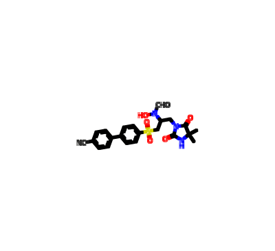 CC1(C)NC(=O)N(CC(CS(=O)(=O)c2ccc(-c3ccc(C#N)cc3)cc2)N(O)C=O)C1=O